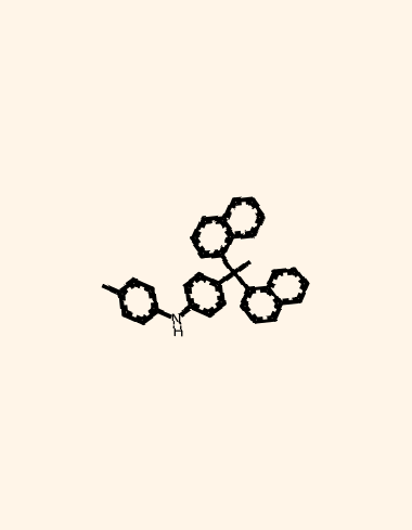 Cc1ccc(Nc2ccc(C(C)(c3cccc4ccccc34)c3cccc4ccccc34)cc2)cc1